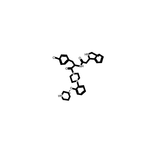 O=C(CC1NCc2ccccc21)NC(Cc1ccc(Cl)cc1)C(=O)N1CCN(c2ccccc2O[C@@H]2CCCNC2)CC1